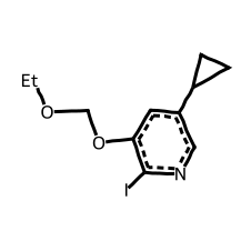 CCOCOc1cc(C2CC2)cnc1I